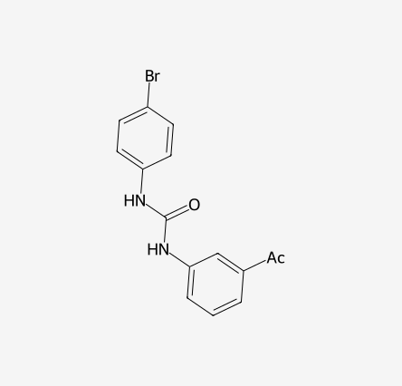 CC(=O)c1cccc(NC(=O)Nc2ccc(Br)cc2)c1